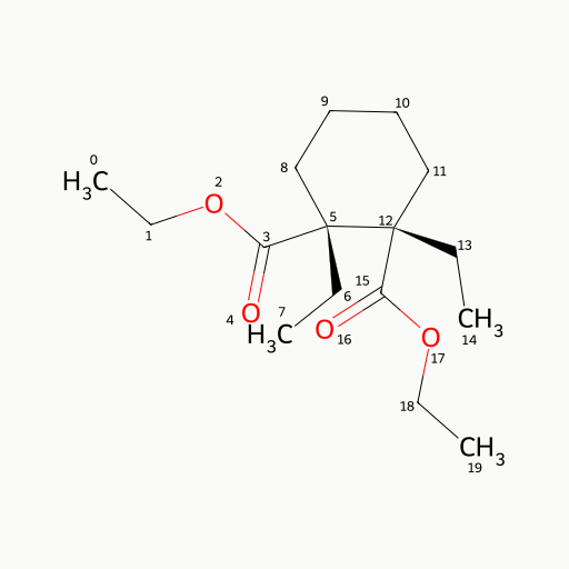 CCOC(=O)[C@]1(CC)CCCC[C@]1(CC)C(=O)OCC